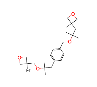 CCC1(COC(C)(C)Cc2ccc(COC(C)(C)CC3(C)COC3)cc2)COC1